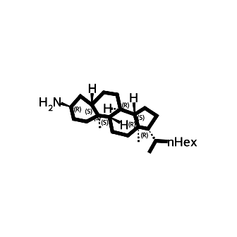 CCCCCCC(C)[C@H]1CC[C@H]2[C@@H]3CC[C@H]4C[C@H](N)CC[C@]4(C)[C@H]3CC[C@]12C